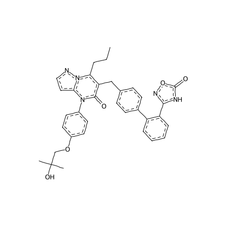 CCCc1c(Cc2ccc(-c3ccccc3-c3noc(=O)[nH]3)cc2)c(=O)n(-c2ccc(OCC(C)(C)O)cc2)c2ccnn12